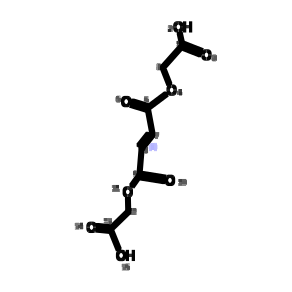 O=C(O)COC(=O)/C=C/C(=O)OCC(=O)O